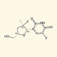 C[C@@]1(F)C[C@@H](CO)O[C@H]1n1cc(F)c(=O)[nH]c1=O